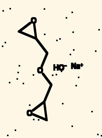 C(OCC1CO1)C1CO1.[Na+].[OH-]